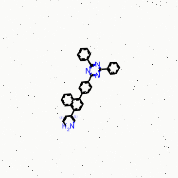 C/C=C\C(=C/N)c1ccc(-c2ccc(-c3nc(-c4ccccc4)nc(-c4ccccc4)n3)cc2)c2ccccc12